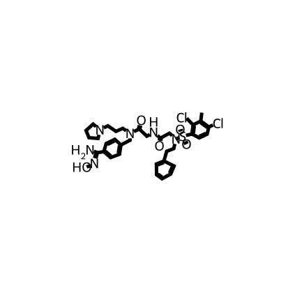 Cc1c(Cl)ccc(S(=O)(=O)N(CCc2ccccc2)CC(=O)NCC(=O)N(CCCN2CCCC2)Cc2ccc(C(N)=NO)cc2)c1Cl